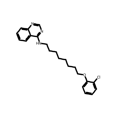 Clc1ccccc1OCCCCCCCCNc1ncnc2ccccc12